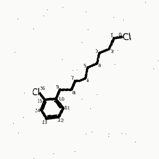 ClCCCCCCCCCc1ccccc1Cl